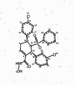 O=C(NO)C1=CC[C@@H](c2ccc(Cl)cc2)N(S(=O)(=O)c2ccccc2)[C@H]1c1cccc(Cl)c1